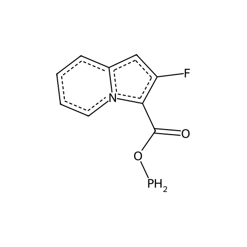 O=C(OP)c1c(F)cc2ccccn12